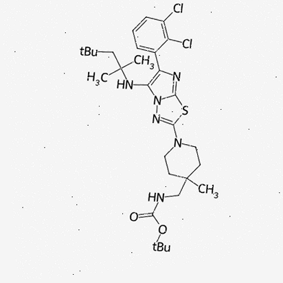 CC(C)(C)CC(C)(C)Nc1c(-c2cccc(Cl)c2Cl)nc2sc(N3CCC(C)(CNC(=O)OC(C)(C)C)CC3)nn12